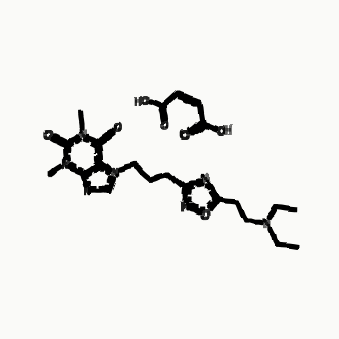 CCN(CC)CCc1nc(CCCn2cnc3c2c(=O)n(C)c(=O)n3C)no1.O=C(O)/C=C\C(=O)O